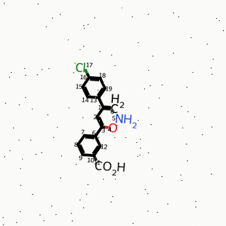 C=C(/C=C(\ON)c1cccc(C(=O)O)c1)c1ccc(Cl)cc1